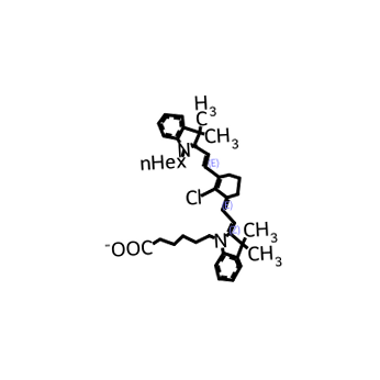 CCCCCC[N+]1=C(/C=C/C2=C(Cl)C(=C/C=C3\N(CCCCCC(=O)[O-])c4ccccc4C3(C)C)/CCC2)C(C)(C)c2ccccc21